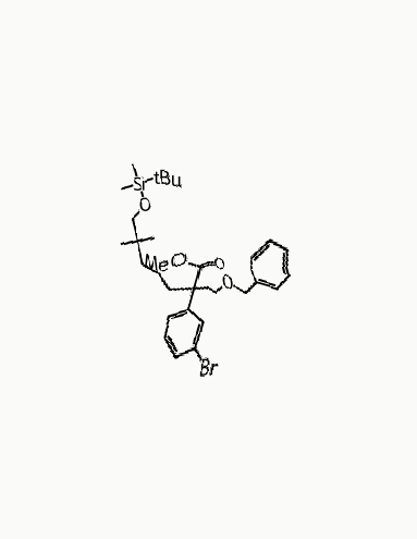 COC(=O)C(CCCC(C)(C)CO[Si](C)(C)C(C)(C)C)(COCc1ccccc1)c1cccc(Br)c1